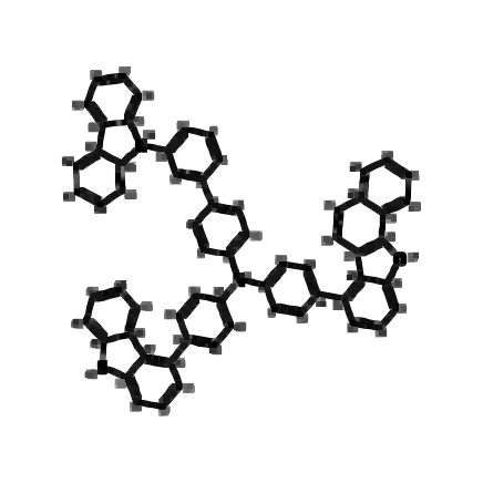 c1cc(-c2ccc(N(c3ccc(-c4cccc5oc6c7ccccc7ccc6c45)cc3)c3ccc(-c4cccc5sc6ccccc6c45)cc3)cc2)cc(-n2c3ccccc3c3ccccc32)c1